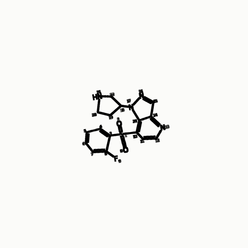 O=S(=O)(c1ccccc1F)c1ccnc2cnn(C3CCNC3)c12